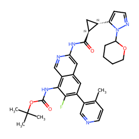 Cc1ccncc1-c1cc2cc(NC(=O)[C@H]3C[C@@H]3c3ccnn3C3CCCCO3)ncc2c(NC(=O)OC(C)(C)C)c1F